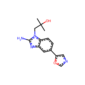 CC(C)(O)Cn1c(N)nc2cc(-c3cnco3)ccc21